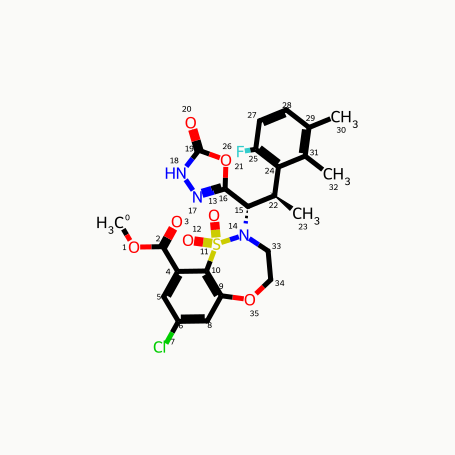 COC(=O)c1cc(Cl)cc2c1S(=O)(=O)N([C@H](c1n[nH]c(=O)o1)[C@H](C)c1c(F)ccc(C)c1C)CCO2